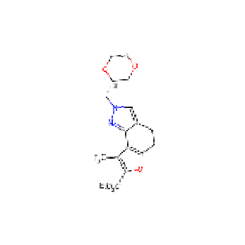 CCOC(=O)c1oc2c(c1C(F)(F)F)-c1nn(C[C@H]3COCCO3)cc1CC2